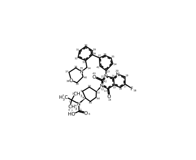 CC(C)(C)N(C(=O)O)[C@H]1CC[C@@H](n2c(=O)c3cc(F)cnc3n(-c3cccc(-c4ccccc4CN4CCOCC4)c3)c2=O)CC1